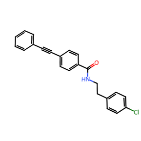 O=C(NCCc1ccc(Cl)cc1)c1ccc(C#Cc2ccccc2)cc1